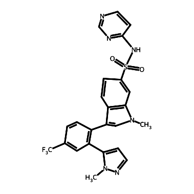 Cn1nccc1-c1cc(C(F)(F)F)ccc1-c1cn(C)c2cc(S(=O)(=O)Nc3ccncn3)ccc12